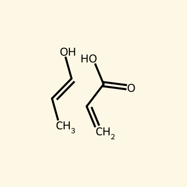 C=CC(=O)O.CC=CO